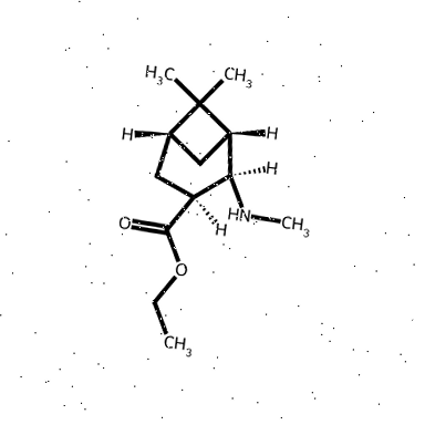 CCOC(=O)[C@H]1C[C@H]2C[C@@H]([C@H]1NC)C2(C)C